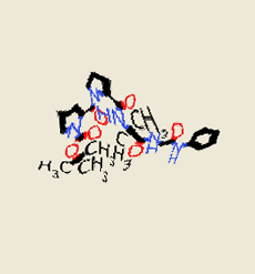 CC(C)(C)OC(=O)N1CCC[C@H]1C(=O)N1CCC[C@H]1C(=O)NC(C)(C)C(=O)NCC(=O)Nc1ccccc1